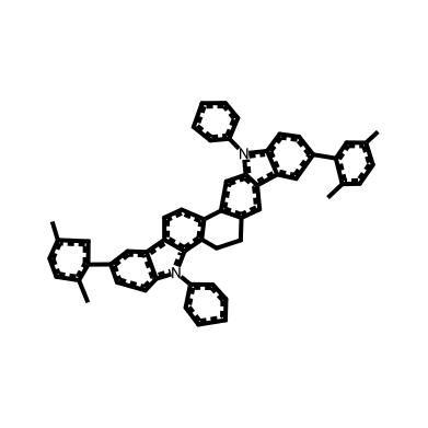 Cc1ccc(C)c(-c2ccc3c(c2)c2cc4c(cc2n3-c2ccccc2)-c2ccc3c5cc(-c6cc(C)ccc6C)ccc5n(-c5ccccc5)c3c2CC4)c1